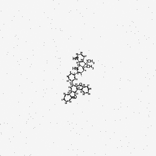 CC1(C)C2=CC=C(c3cccc(-c4cc5c6ccccc6oc5c5c4oc4ccccc45)c3)NC2C2=C1C=CCN2